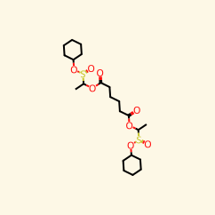 CC(OC(=O)CCCCC(=O)OC(C)S(=O)OC1CCCCC1)S(=O)OC1CCCCC1